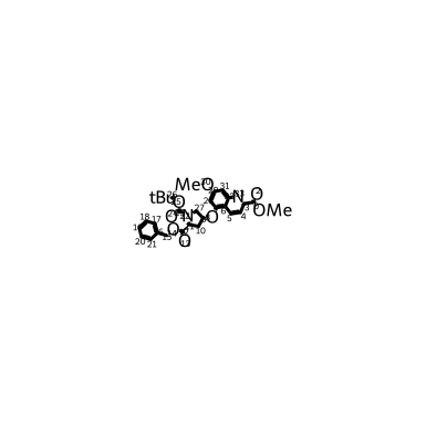 COC(=O)c1ccc2c(O[C@@H]3C[C@@H](C(=O)OCc4ccccc4)N(C(=O)OC(C)(C)C)C3)cc(OC)cc2n1